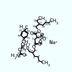 CCCCC(CC)COC(=O)CC(C(=O)OCC(CC)CCCC)S(=O)(=O)[O-].CCOC(N)=O.Cc1ccc(C)cc1.[Na+]